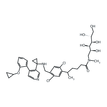 CC(CCCC(=O)N(C)C[C@H](O)[C@@H](O)[C@H](O)[C@H](O)CO)c1cc(Cl)c(CNC2(c3cnccc3-c3ccccc3OC3CC3)CC2)cc1Cl